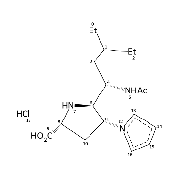 CCC(CC)C[C@H](NC(C)=O)[C@@H]1N[C@@H](C(=O)O)C[C@H]1n1cccc1.Cl